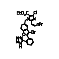 CCC/C=C\c1nc(Cl)c(C(=O)OCC)n1Cc1ccc2oc(-c3ccccc3-c3nnn[nH]3)c(Br)c2c1